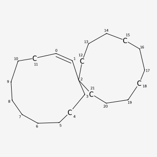 C1=CC2(CCCCCCCCC1)CCCCCCCCCC2